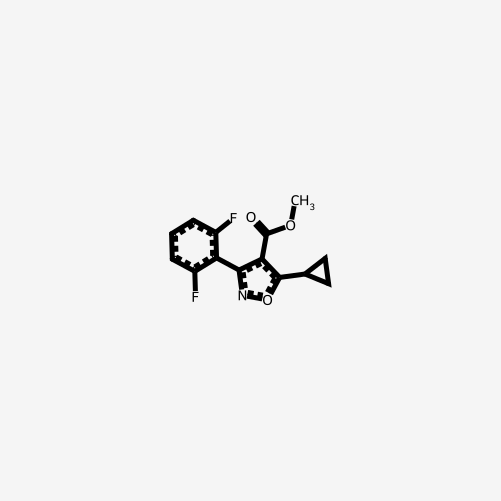 COC(=O)c1c(-c2c(F)cccc2F)noc1C1CC1